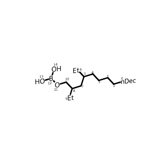 CCCCCCCCCCCCCCC(CC)CC(CC)COB(O)O